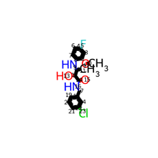 COc1cc(F)ccc1NC(C)C(O)C(=O)NCc1cccc(Cl)c1